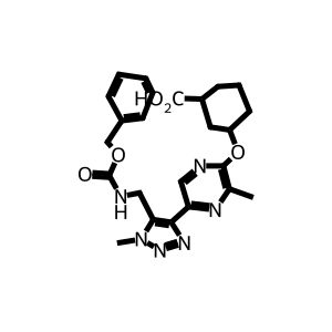 Cc1nc(-c2nnn(C)c2CNC(=O)OCc2ccccc2)cnc1OC1CCCC(C(=O)O)C1